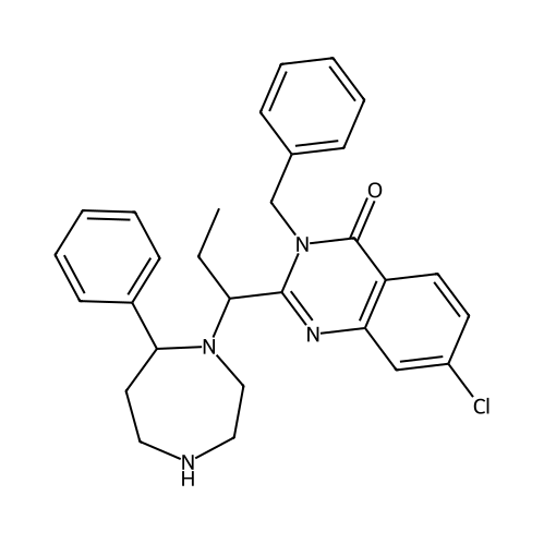 CCC(c1nc2cc(Cl)ccc2c(=O)n1Cc1ccccc1)N1CCNCCC1c1ccccc1